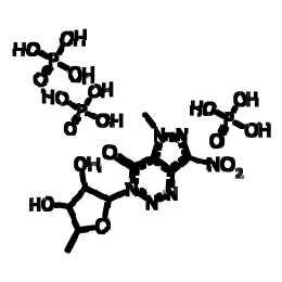 CC1OC(n2nnc3c([N+](=O)[O-])nn(C)c3c2=O)C(O)C1O.O=P(O)(O)O.O=P(O)(O)O.O=P(O)(O)O